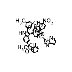 Cc1cc(C)cc(-c2[nH]c3ccc(C(C)(C)C(=O)N4C5CCC4CC5)cc3c2[C@H](C)CN(CCn2cnc3cccnc32)S(=O)(=O)c2ccc([N+](=O)[O-])cc2[N+](=O)[O-])c1